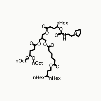 CCCCCCCCOC(CCC(=O)OCC(COC(=O)CCCCC(=O)OCCC(CCCCCC)CCCCCC)COC(=O)CCC(CCCCCC)OC(=O)NCCN1CCCC1)OCCCCCCCC